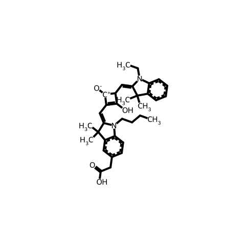 CCCCN1C(=CC2=C(O)C(C=C3N(CC)c4ccccc4C3(C)C)[C+]2[O-])C(C)(C)c2cc(CC(=O)O)ccc21